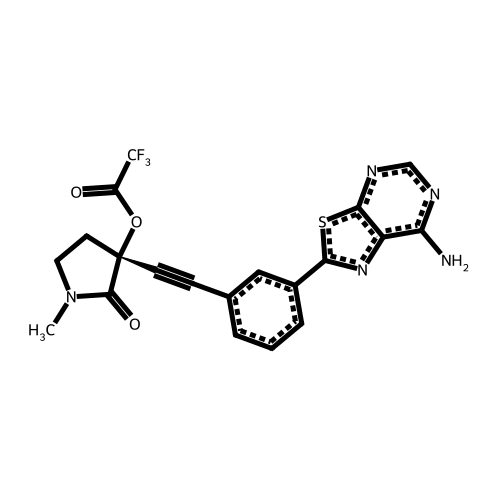 CN1CC[C@](C#Cc2cccc(-c3nc4c(N)ncnc4s3)c2)(OC(=O)C(F)(F)F)C1=O